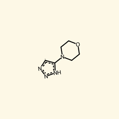 [c]1nn[nH]c1N1CCOCC1